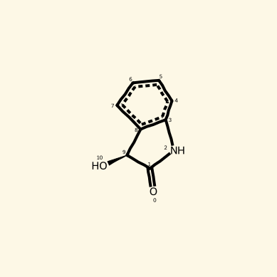 O=C1Nc2ccccc2[C@@H]1O